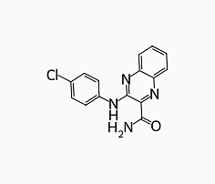 NC(=O)c1nc2ccccc2nc1Nc1ccc(Cl)cc1